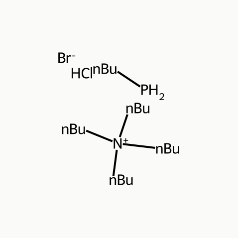 CCCCP.CCCC[N+](CCCC)(CCCC)CCCC.Cl.[Br-]